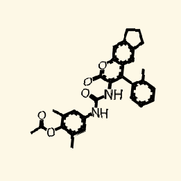 CC(=O)Oc1c(C)cc(NC(=O)Nc2c(-c3ccccc3C)c3cc4c(cc3oc2=O)CCC4)cc1C